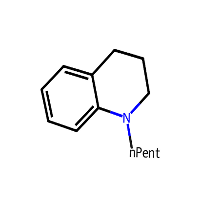 [CH2]CCCCN1CCCc2ccccc21